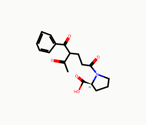 CC(=O)C(CCC(=O)N1CCC[C@H]1C(=O)O)C(=O)c1ccccc1